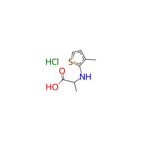 Cc1ccsc1NC(C)C(=O)O.Cl